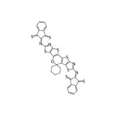 S=c1c(=Nc2nc3sc4c(c3s2)OC2(CCCCC2)c2c-4sc3nc(N=c4c(=S)c5ccccc5c4=S)sc23)c(=S)c2ccccc12